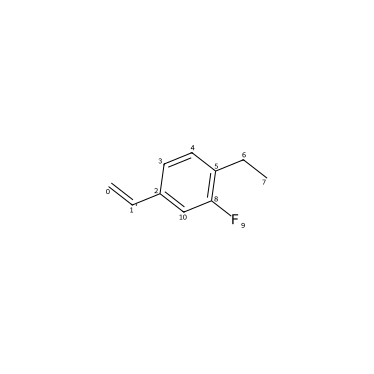 C=[C]c1ccc(CC)c(F)c1